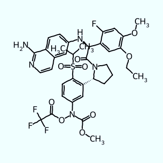 CCOc1cc([C@H](Nc2ccc3c(N)nccc3c2)C(=O)N2CCC[C@@H]2c2cc(N(OC(=O)C(F)(F)F)C(=O)OC)ccc2S(=O)(=O)C(C)C)c(F)cc1OC